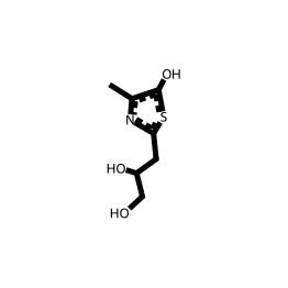 Cc1nc(CC(O)CO)sc1O